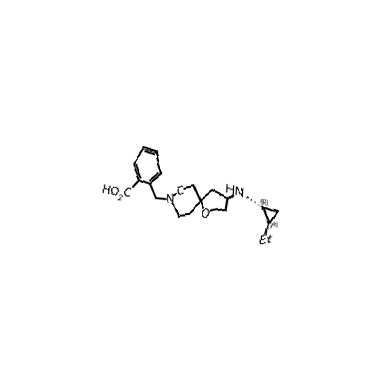 CC[C@@H]1C[C@H]1NC1COC2(CCN(Cc3ccccc3C(=O)O)CC2)C1